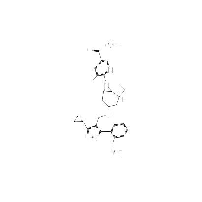 COC(=O)c1cnc(N2C3C[C@@H](OCc4c(-c5ccccc5OC(F)(F)F)noc4C4CC4)C[C@@H]4CC[C@@]342)c(C)c1